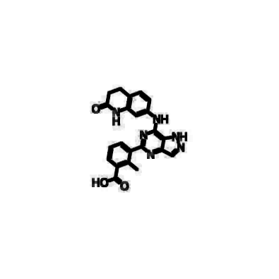 Cc1c(C(=O)O)cccc1-c1nc(Nc2ccc3c(c2)NC(=O)CC3)c2[nH]ncc2n1